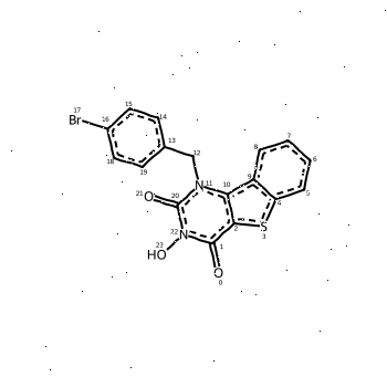 O=c1c2sc3ccccc3c2n(Cc2ccc(Br)cc2)c(=O)n1O